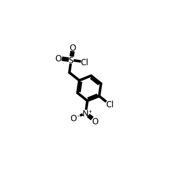 O=[N+]([O-])c1cc(CS(=O)(=O)Cl)ccc1Cl